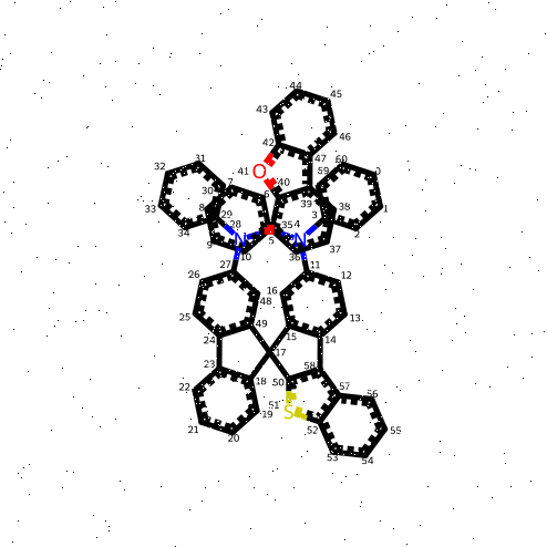 c1ccc(N(c2ccccc2)c2ccc3c(c2)C2(c4ccccc4-c4ccc(N(c5ccccc5)c5cccc6c5oc5ccccc56)cc42)c2sc4ccccc4c2-3)cc1